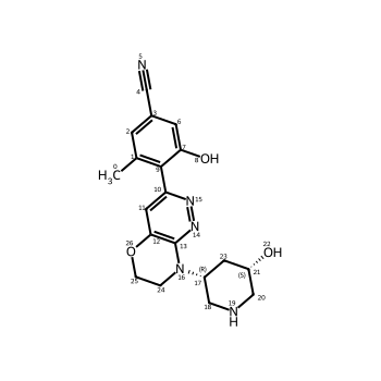 Cc1cc(C#N)cc(O)c1-c1cc2c(nn1)N([C@H]1CNC[C@@H](O)C1)CCO2